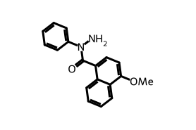 COc1ccc(C(=O)N(N)c2ccccc2)c2ccccc12